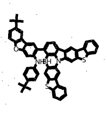 CC(C)(C)c1ccc(Nc2cc3oc4ccc(C(C)(C)C)cc4c3cc2-c2ccc3c4cc5c(cc4n4c3c2Bc2cc3sc6ccccc6c3cc2-4)sc2ccccc25)cc1